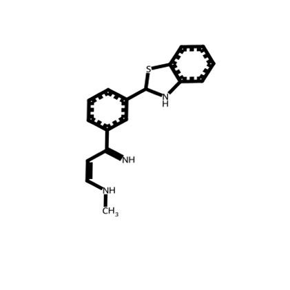 CN/C=C\C(=N)c1cccc(C2Nc3ccccc3S2)c1